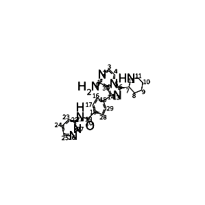 Nc1nccn2c([C@@H]3CCCCN3)nc(-c3ccc(C(=O)Nc4cccnn4)cc3)c12